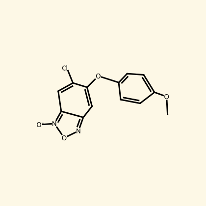 COc1ccc(Oc2cc3no[n+]([O-])c3cc2Cl)cc1